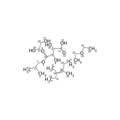 CC(C)COC(=O)C(O)C(O)C(=O)O.CC/C(C)=C(\C)CC.CCOCC.OCCO